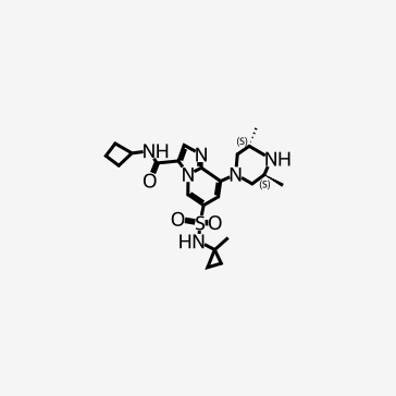 C[C@H]1CN(c2cc(S(=O)(=O)NC3(C)CC3)cn3c(C(=O)NC4CCC4)cnc23)C[C@H](C)N1